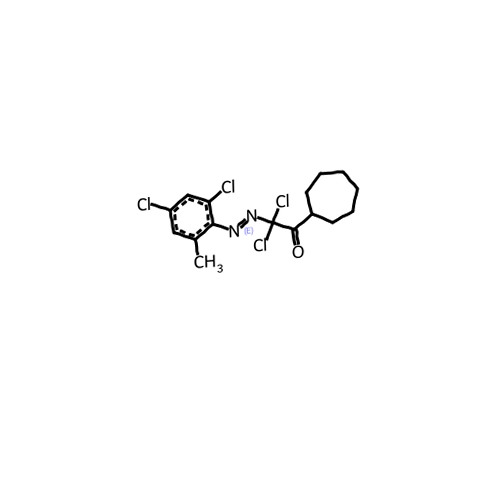 Cc1cc(Cl)cc(Cl)c1/N=N/C(Cl)(Cl)C(=O)C1CCCCCC1